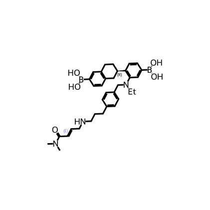 CCN(Cc1ccc(CCCNC/C=C/C(=O)N(C)C)cc1)c1cc(B(O)O)ccc1[C@@H]1CCc2cc(B(O)O)ccc2C1